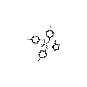 Cc1ccc(OP(=O)(Oc2ccc(C)cc2)Oc2ccc(C)cc2)cc1.c1cn[nH]c1